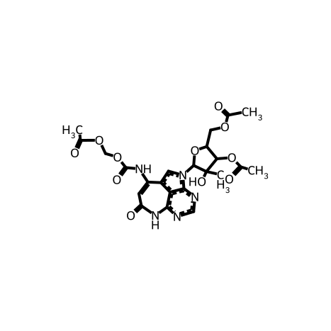 CC(=O)OCOC(=O)NC1=CC(=O)Nc2ncnc3c2c1cn3C1OC(COC(C)=O)C(OC(C)=O)C1(C)O